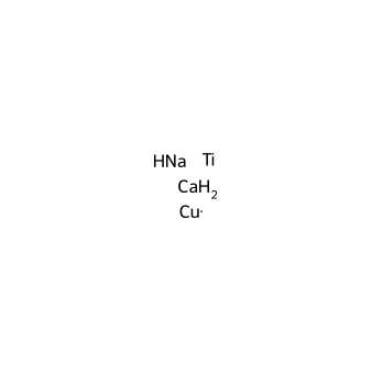 [CaH2].[Cu].[NaH].[Ti]